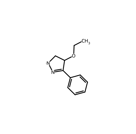 CCOC1C[N]N=C1c1ccccc1